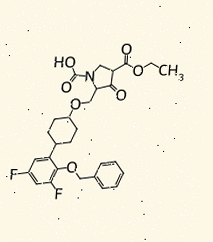 CCOC(=O)C1CN(C(=O)O)C(COC2CCC(c3cc(F)cc(F)c3OCc3ccccc3)CC2)C1=O